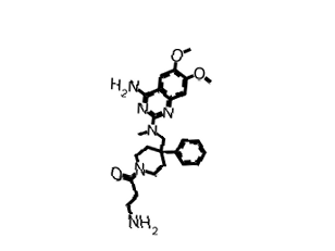 COc1cc2nc(N(C)CC3(c4ccccc4)CCN(C(=O)CCN)CC3)nc(N)c2cc1OC